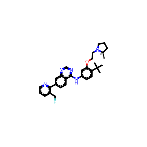 C[C@@H]1CCCN1CCOc1cc(Nc2ncnc3cc(-c4ncccc4CF)ccc23)ccc1C(C)(C)C